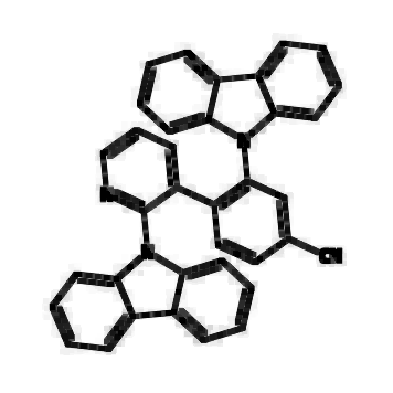 N#Cc1ccc(-c2cccnc2-n2c3ccccc3c3ccccc32)c(-n2c3ccccc3c3ccccc32)c1